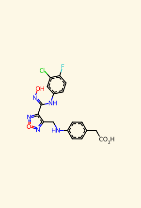 O=C(O)Cc1ccc(NCc2nonc2C(=NO)Nc2ccc(F)c(Cl)c2)cc1